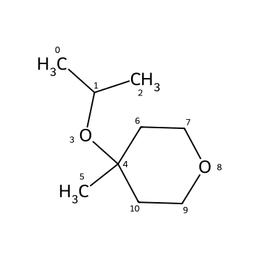 CC(C)OC1(C)CCOCC1